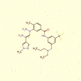 CCCN(CC)Cc1cc(NC(=O)c2ccc(C)c(N(N)/C=C(\N)c3cnn(C)c3)c2)cc(C(F)(F)F)c1